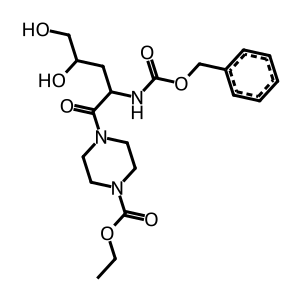 CCOC(=O)N1CCN(C(=O)C(CC(O)CO)NC(=O)OCc2ccccc2)CC1